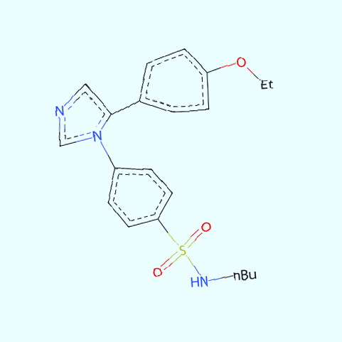 CCCCNS(=O)(=O)c1ccc(-n2cncc2-c2ccc(OCC)cc2)cc1